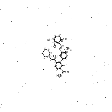 NC(=O)c1ccc(C(CN2CCCCC2)S(=O)(=O)O)c(-c2cnc(N)c(OCc3c(F)ccc(F)c3Cl)n2)c1